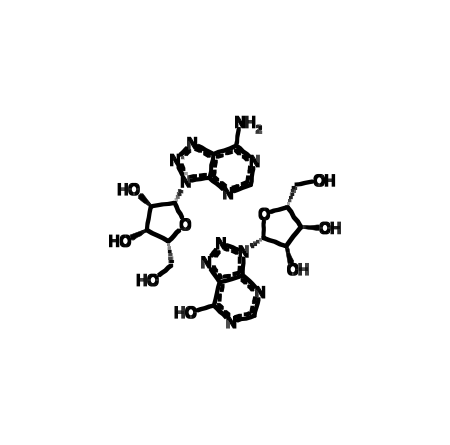 Nc1ncnc2c1nnn2[C@@H]1O[C@H](CO)[C@@H](O)[C@H]1O.OC[C@H]1O[C@@H](n2nnc3c(O)ncnc32)[C@H](O)[C@@H]1O